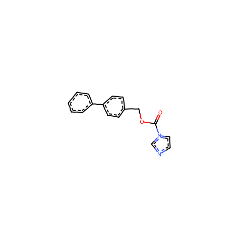 O=C(OCc1ccc(-c2ccccc2)cc1)n1ccnc1